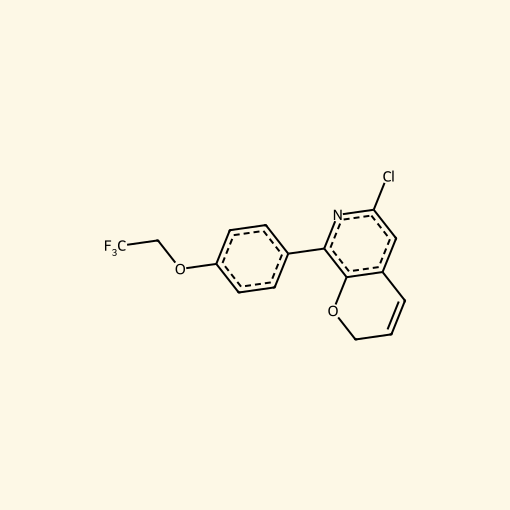 FC(F)(F)COc1ccc(-c2nc(Cl)cc3c2OCC=C3)cc1